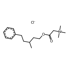 CC(CCOC(=O)C[N+](C)(C)C)CCc1ccccc1.[Cl-]